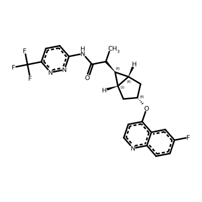 CC(C(=O)Nc1ccc(C(F)(F)F)nn1)[C@H]1[C@@H]2C[C@H](Oc3ccnc4ccc(F)cc34)C[C@@H]21